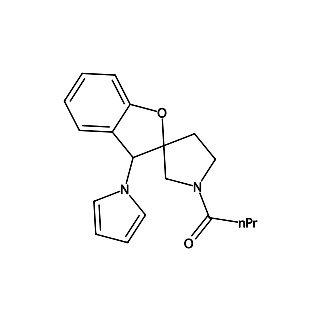 CCCC(=O)N1CCC2(C1)Oc1ccccc1C2n1cccc1